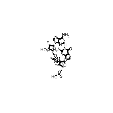 Nc1nc2c(ncn2[C@@H]2O[C@H](CO[PH](O)=S)[C@@H](F)[C@H]2OP(O)(=S)OC[C@H]2O[C@@H](n3cnc4c(N)ncnc43)[C@H](F)[C@@H]2O)c(=O)[nH]1